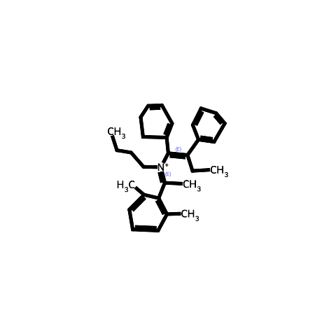 CCCC[N+](/C(C1=CC=CCC1)=C(\CC)c1ccccc1)=C(/C)c1c(C)cccc1C